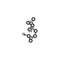 N#Cc1ccc2c(c1)c1ccccc1n2-c1cccc(-c2cccc(-n3c4ccc5c(c6ccccc6n5-c5ccccc5)c4c4cccnc43)c2)c1